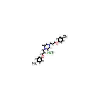 CC1CN(CCCOc2ccc(C#N)cc2)CCN1CCCOc1ccc(C#N)cc1.Cl